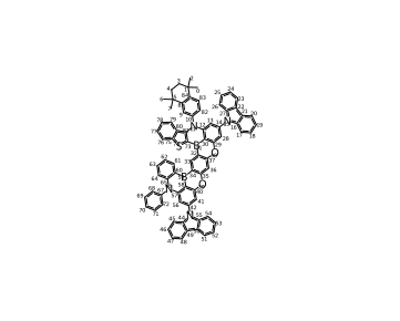 CC1(C)CCC(C)(C)c2cc(N3c4cc(-n5c6ccccc6c6ccccc65)cc5c4B(c4cc6c(cc4O5)Oc4cc(-n5c7ccccc7c7ccccc75)cc5c4B6c4ccccc4N5c4ccccc4)c4sc5ccccc5c43)ccc21